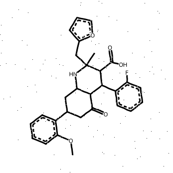 COc1ccccc1C1CC(=O)C2C(C1)NC(C)(Cc1ccco1)C(C(=O)O)C2c1ccccc1F